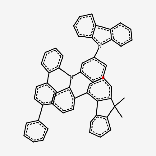 CC1(C)c2ccccc2-c2c(-c3ccccc3N(c3cccc(-n4c5ccccc5c5ccccc54)c3)c3ccccc3-c3ccc(-c4ccccc4)cc3)cccc21